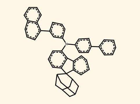 c1ccc(-c2ccc(N(c3cccc(-c4cccc5ccccc45)c3)c3cccc4c3-c3ccccc3C43C4CC5CC(C4)CC3C5)cc2)cc1